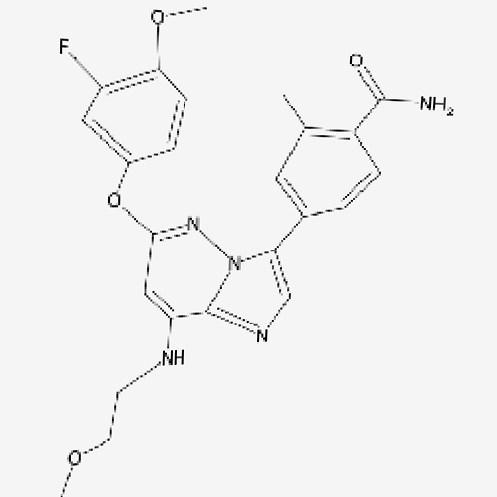 COCCNc1cc(Oc2ccc(OC)c(F)c2)nn2c(-c3ccc(C(N)=O)c(C)c3)cnc12